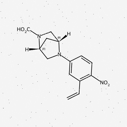 C=Cc1cc(N2C[C@H]3C[C@@H]2CN3C(=O)O)ccc1[N+](=O)[O-]